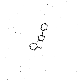 Clc1ccccc1-c1nc(-c2ccccc2)cs1